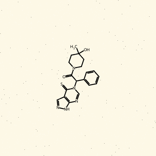 CC1(O)CCN(C(=O)C(c2ccccc2)n2cnc3[nH]ncc3c2=S)CC1